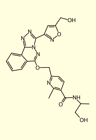 Cc1nc(COc2nn3c(-c4cc(CO)on4)nnc3c3ccccc23)ccc1C(=O)NC(C)CO